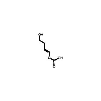 O=[PH](O)OC=CCCO